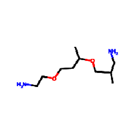 CC(CN)COC(C)CCOCCN